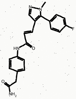 Cn1ncc(/C=C/C(=O)Nc2ccc(CC(N)=O)cc2)c1-c1ccc(F)cc1